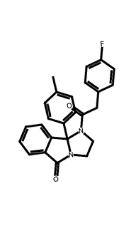 Cc1ccc(C23c4ccccc4C(=O)N2CCN3C(=O)Cc2ccc(F)cc2)cc1